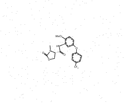 COc1ccc(Oc2ccc(C(F)(F)F)cc2)cc1NC(=O)[C@@H]1COC(=O)N1C